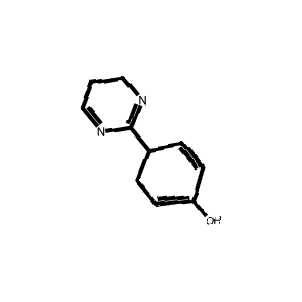 OC1=CCC(C2=NCCC=N2)C=C1